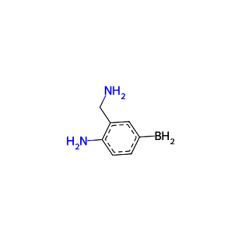 Bc1ccc(N)c(CN)c1